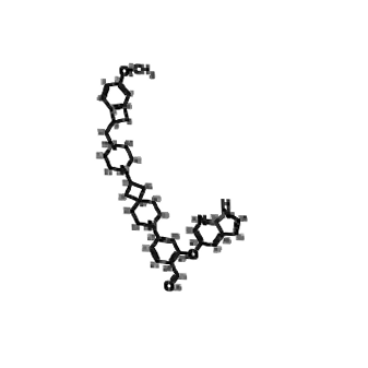 COc1ccc2c(c1)CC2CN1CCN(C2CC3(CCN(c4ccc(C=O)c(Oc5cnc6[nH]ccc6c5)c4)CC3)C2)CC1